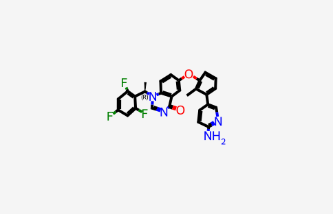 Cc1c(Oc2ccc3c(c2)c(=O)ncn3[C@H](C)c2c(F)cc(F)cc2F)cccc1-c1ccc(N)nc1